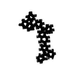 c1ccc(-n2c3ccccc3c3cc(-c4ccc5c(ccc6c5c5ccccc5n6-c5cccc(-c6ncc7cccc8c7c6-c6ccccc6-8)c5)c4)ccc32)cc1